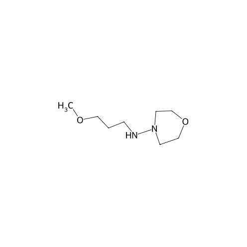 COCCCNN1CCOCC1